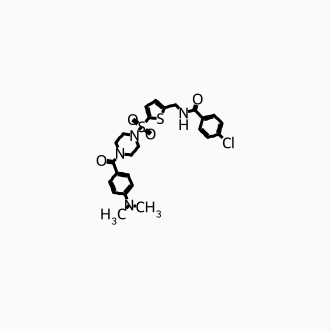 CN(C)c1ccc(C(=O)N2CCN(S(=O)(=O)c3ccc(CNC(=O)c4ccc(Cl)cc4)s3)CC2)cc1